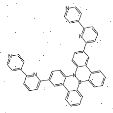 c1cc(-c2ccncc2)nc(-c2ccc3c(c2)-c2ccccc2B2c4ccccc4-c4cc(-c5cccc(-c6ccncc6)n5)ccc4N23)c1